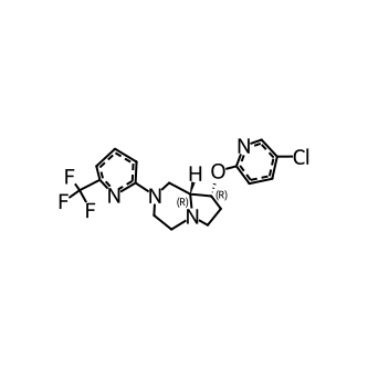 FC(F)(F)c1cccc(N2CCN3CC[C@@H](Oc4ccc(Cl)cn4)[C@H]3C2)n1